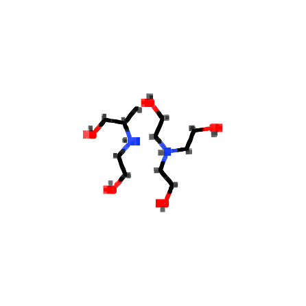 CC(CO)NCCO.OCCN(CCO)CCO